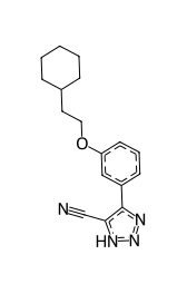 N#Cc1[nH]nnc1-c1cccc(OCCC2CCCCC2)c1